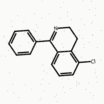 Clc1cccc2c1CCN=C2c1ccccc1